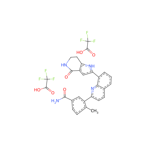 Cc1ccc(C(N)=O)cc1-c1ccc2cccc(-c3cc4c([nH]3)CCNC4=O)c2n1.O=C(O)C(F)(F)F.O=C(O)C(F)(F)F